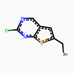 CC(C)Cc1cc2cnc(Cl)nc2s1